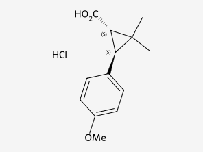 COc1ccc([C@H]2[C@H](C(=O)O)C2(C)C)cc1.Cl